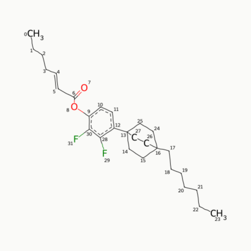 CCCCC=CC(=O)Oc1ccc(C23CCC(CCCCCCC)(CC2)CC3)c(F)c1F